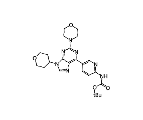 CC(C)(C)OC(=O)Nc1ccc(-c2nc(N3CCOCC3)nc3c2ncn3C2CCOCC2)cn1